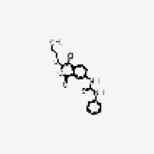 CCCOc1oc(=O)c2cc(NC(=S)Nc3ccccc3)ccc2c1Cl